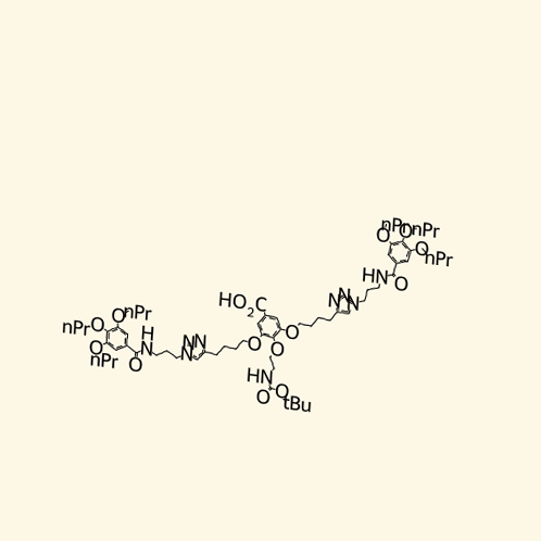 CCCOc1cc(C(=O)NCCCn2cc(CCCCOc3cc(C(=O)O)cc(OCCCCc4cn(CCCNC(=O)c5cc(OCCC)c(OCCC)c(OCCC)c5)nn4)c3OCCNC(=O)OC(C)(C)C)nn2)cc(OCCC)c1OCCC